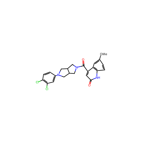 COc1ccc2[nH]c(=O)cc(C(=O)N3CC4CN(c5ccc(Cl)c(Cl)c5)CC4C3)c2c1